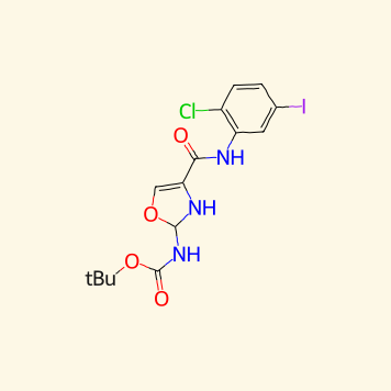 CC(C)(C)OC(=O)NC1NC(C(=O)Nc2cc(I)ccc2Cl)=CO1